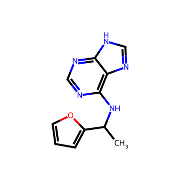 CC(Nc1ncnc2[nH]cnc12)c1ccco1